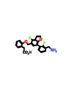 NCc1cccc(-c2cc(COc3ccccc3CC(=O)O)c(F)c3ccoc23)c1F